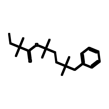 CCC(C)(C)C(=O)OC(C)(C)CCC(C)(C)Cc1ccccc1